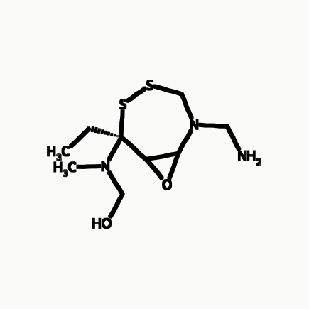 CC[C@]1(N(C)CO)SSCN(CN)C2OC21